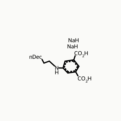 CCCCCCCCCCCCNc1cc(C(=O)O)cc(C(=O)O)c1.[NaH].[NaH]